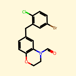 O=CN1CCOc2ccc(Cc3cc(Br)ccc3Cl)cc21